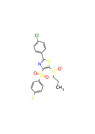 CCC[S+]([O-])c1sc(-c2ccc(Cl)cc2)nc1S(=O)(=O)c1ccc(F)cc1